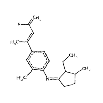 C=C(F)/C=C(\C)c1ccc(/N=C2/CCC(C)C2CC)c(C)c1